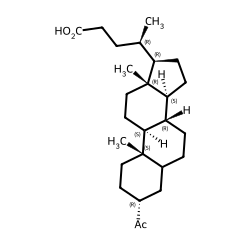 CC(=O)[C@@H]1CC[C@@]2(C)C(CC[C@H]3[C@@H]4CC[C@H]([C@H](C)CCC(=O)O)[C@@]4(C)CC[C@@H]32)C1